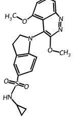 COc1nnc2cccc(OC)c2c1N1CCc2cc(S(=O)(=O)NC3CC3)ccc21